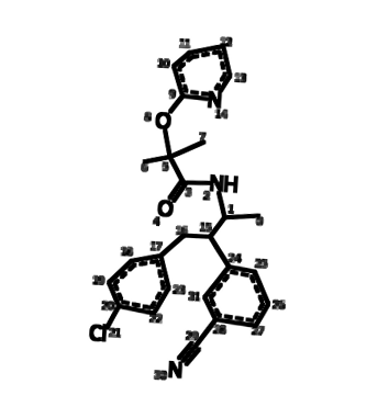 CC(NC(=O)C(C)(C)Oc1ccccn1)C(Cc1ccc(Cl)cc1)c1cccc(C#N)c1